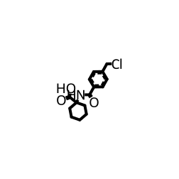 O=C(NC1(C(=O)O)CCCCC1)c1ccc(CCl)cc1